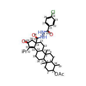 CC(=O)OC1CCC2(C)C(CCC3(C)C4CCC5(C(=O)NNC(=O)c6ccc(Cl)cc6)CC(=O)C(C(C)C)=C5C4CCC32)C1C